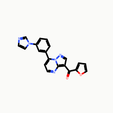 O=C(c1ccco1)c1cnn2c(-c3cccc(-n4ccnc4)c3)ccnc12